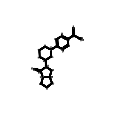 NC(=O)c1cnc(N2CCCC(N3CC4CCCN4C3=O)C2)cn1